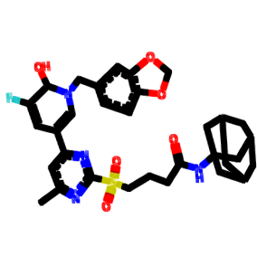 Cc1cc(C2=CN(Cc3ccc4c(c3)OCO4)C(O)C(F)=C2)nc(S(=O)(=O)CCCC(=O)NC23CC4CC(CC(C4)C2)C3)n1